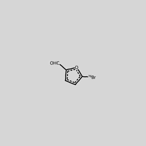 O=Cc1ccc([76Br])o1